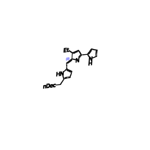 CCCCCCCCCCCc1ccc(/C=C2\N=C(c3ccc[nH]3)C=C2CC)[nH]1